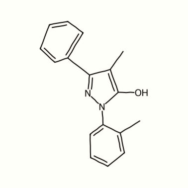 Cc1ccccc1-n1nc(-c2ccccc2)c(C)c1O